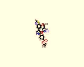 Cc1nc2cc(C3=CC(C4CCC(C(=O)OC(C)(C)C)CC4)N=C3)cc(O[C@H](C)[C@H]3CNC(=O)C3)c2s1